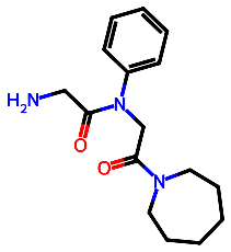 NCC(=O)N(CC(=O)N1CCCCCC1)c1ccccc1